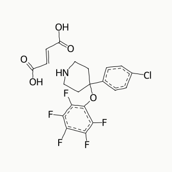 Fc1c(F)c(F)c(OC2(c3ccc(Cl)cc3)CCNCC2)c(F)c1F.O=C(O)C=CC(=O)O